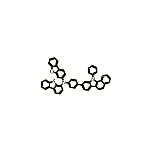 c1ccc(-n2c3cc(-c4ccc(N(c5ccc6c(c5)oc5ccccc56)c5cccc6c5sc5ccccc56)cc4)ccc3c3ccc4ccccc4c32)cc1